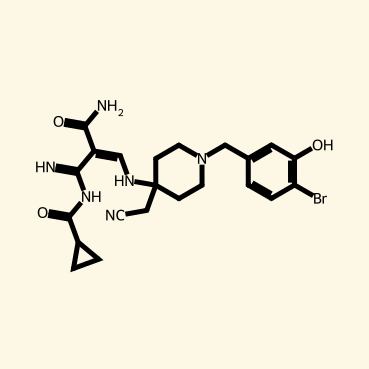 N#CCC1(N/C=C(\C(=N)NC(=O)C2CC2)C(N)=O)CCN(Cc2ccc(Br)c(O)c2)CC1